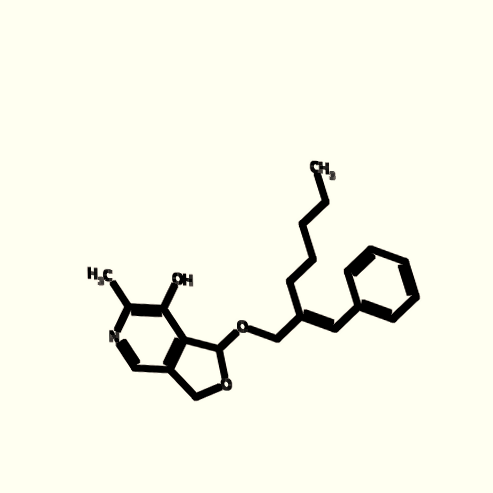 CCCCC/C(=C\c1ccccc1)COC1OCc2cnc(C)c(O)c21